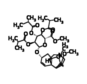 COC(=O)[C@@H]1O[C@H](O[C@H]2C=C[C@@]34CCN(C)Cc5ccc(OC)c(c53)O[C@H]4C2)[C@@H](OC(=O)C(C)C)[C@H](OC(=O)C(C)C)[C@H]1OC(=O)C(C)C